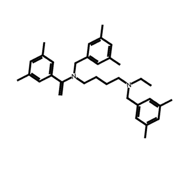 C=C(c1cc(C)cc(C)c1)N(CCCCN(CC)Cc1cc(C)cc(C)c1)Cc1cc(C)cc(C)c1